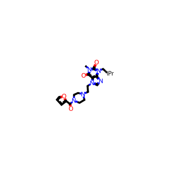 CC(C)Cn1c(=O)n(C)c(=O)c2c1ncn2CCN1CCN(C(=O)c2ccco2)CC1